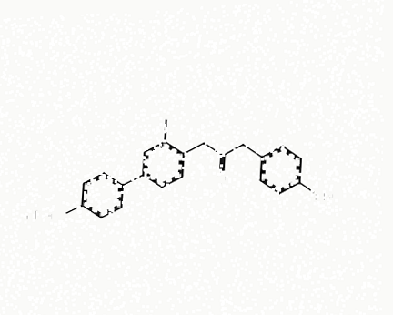 CCCCCc1ccc(-c2ccc(CC(=O)Cc3ccc(CCCC)cc3)c(C)c2)cc1